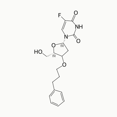 O=c1[nH]c(=O)n([C@@H]2CC(OCCCc3ccccc3)[C@H](CO)O2)cc1F